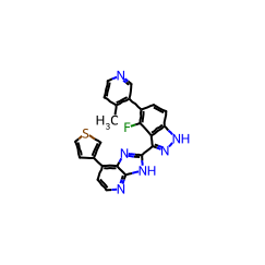 Cc1ccncc1-c1ccc2[nH]nc(-c3nc4c(-c5ccsc5)ccnc4[nH]3)c2c1F